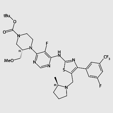 COC[C@@H]1CN(C(=O)OC(C)(C)C)CCN1c1ncnc(Nc2nc(-c3cc(F)cc(C(F)(F)F)c3)c(CN3CCC[C@H]3C)s2)c1F